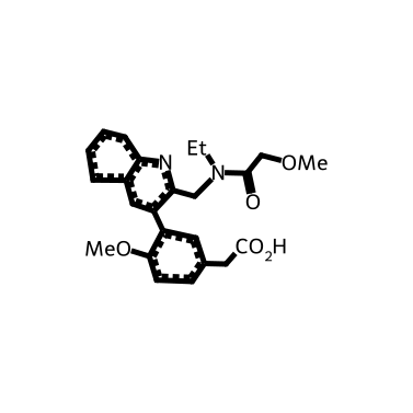 CCN(Cc1nc2ccccc2cc1-c1cc(CC(=O)O)ccc1OC)C(=O)COC